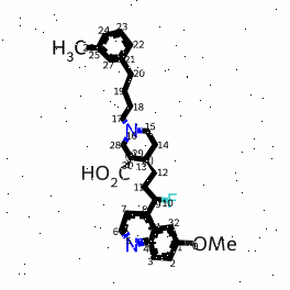 COc1ccc2nccc(C(F)CC[C@@H]3CCN(CCCCc4cccc(C)c4)C[C@@H]3C(=O)O)c2c1